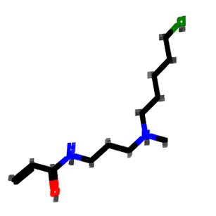 C=CC(=O)NCCCN(C)CCCCCCl